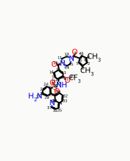 Cc1cc(C)cc(C(=O)N2CCN(C(=O)c3ccc(NS(=O)(=O)c4ccc(N)cc4-c4cccc5cccnc45)c(OC(F)(F)F)c3)CC2)c1